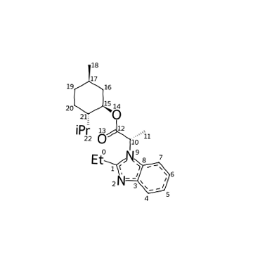 CCc1nc2ccccc2n1[C@@H](C)C(=O)O[C@@H]1C[C@H](C)CC[C@H]1C(C)C